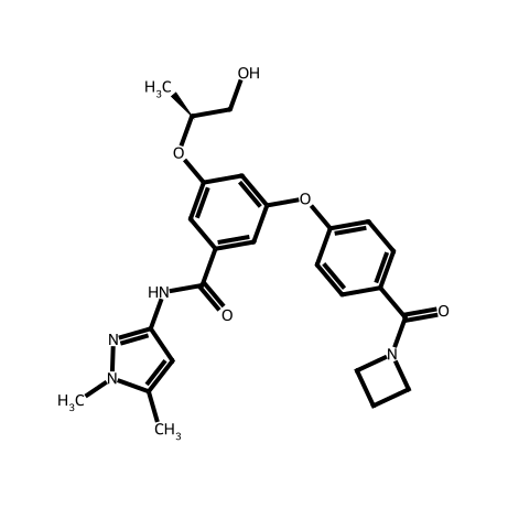 Cc1cc(NC(=O)c2cc(Oc3ccc(C(=O)N4CCC4)cc3)cc(O[C@@H](C)CO)c2)nn1C